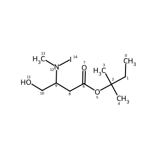 CCC(C)(C)OC(=O)CC(CO)N(C)I